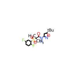 CC(C)(C)c1cc(NC(=O)C(C)(C)S(=O)(=O)c2cc(F)ccc2F)no1